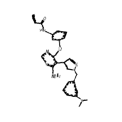 C=CC(=O)Nc1cccc(Oc2ncnc(N)c2C2C=NN(Cc3cccc(N(C)C)c3)C2)c1